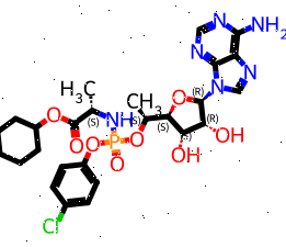 C[C@H](NP(=O)(Oc1ccc(Cl)cc1)O[C@@H](C)[C@H]1O[C@@H](n2cnc3c(N)ncnc32)[C@H](O)[C@@H]1O)C(=O)OC1CCCCC1